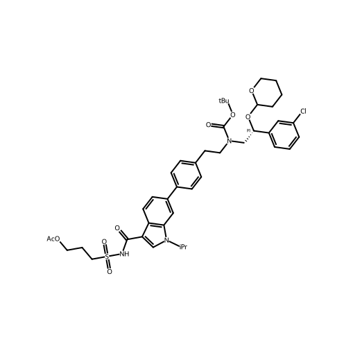 CC(=O)OCCCS(=O)(=O)NC(=O)c1cn(C(C)C)c2cc(-c3ccc(CCN(C[C@H](OC4CCCCO4)c4cccc(Cl)c4)C(=O)OC(C)(C)C)cc3)ccc12